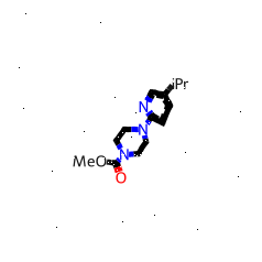 COC(=O)N1CCN(c2ccc(C(C)C)cn2)CC1